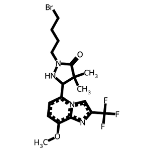 COc1ccc(C2NN(CCCCBr)C(=O)C2(C)C)n2cc(C(F)(F)F)nc12